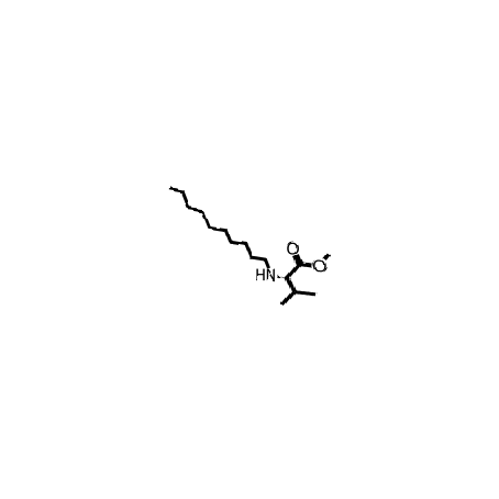 CCCCCCCCCCN[C@H](C(=O)OC)C(C)C